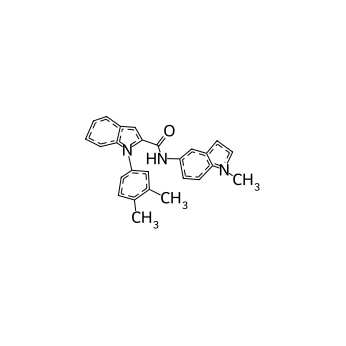 Cc1ccc(-n2c(C(=O)Nc3ccc4c(ccn4C)c3)cc3ccccc32)cc1C